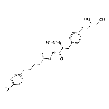 [N-]=[N+]=N[C@@H](Cc1ccc(OCC(O)CO)cc1)C(=O)NOC(=O)CCCCc1ccc(C(F)(F)F)cc1